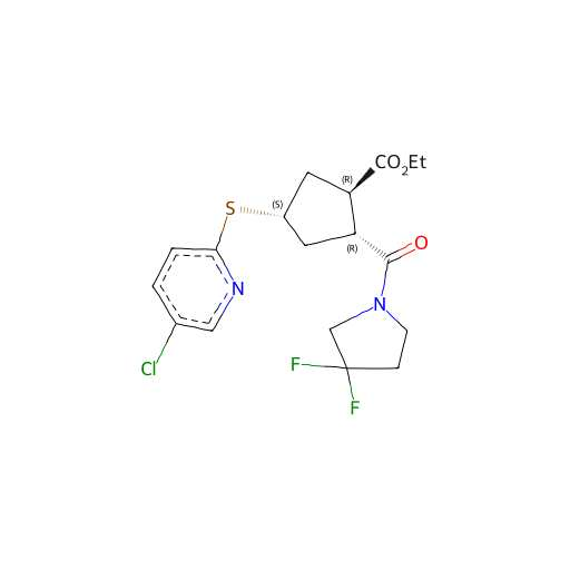 CCOC(=O)[C@@H]1C[C@@H](Sc2ccc(Cl)cn2)C[C@H]1C(=O)N1CCC(F)(F)C1